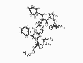 COCC(=O)N1C=C(c2ccccc2)N(CC(=O)N[C@@H](Cc2ccccc2)C(=O)N2CCC[C@H]2C(N)=O)C(=O)[C@@H]1C(C)C